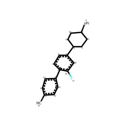 CCCC1CCC(c2ccc(-c3ccc(C#N)cc3)c(F)c2)CC1